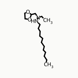 CCCCCCCCCCCCNN(CC)CC1OCCO1